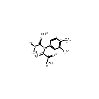 CCN(C)C(=O)N(c1ccc(OC(C)=O)c(OC(C)=O)c1)C(C)C(=O)OC.Cl